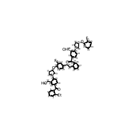 CCc1ccccc1C(=O)c1ccc(N2CC[C@H](Oc3ncc(CCc4ccccc4C(=O)c4ccc(N5CC[C@H](Oc6ncccc6F)C5)c(C=O)c4)cc3F)C2)c(CO)c1